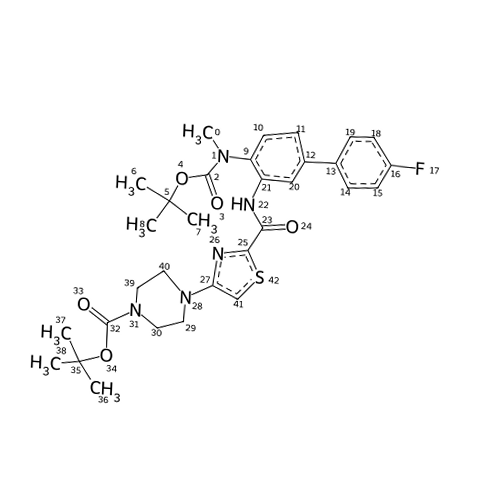 CN(C(=O)OC(C)(C)C)c1ccc(-c2ccc(F)cc2)cc1NC(=O)c1nc(N2CCN(C(=O)OC(C)(C)C)CC2)cs1